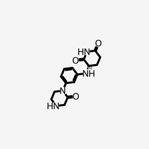 O=C1CC[C@H](Nc2cccc(N3CCNCC3=O)c2)C(=O)N1